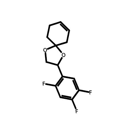 Fc1cc(F)c(C2COC3(CC=CCC3)O2)cc1F